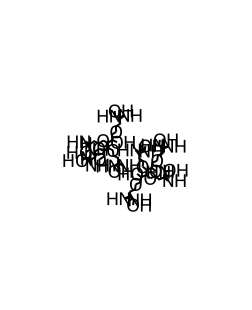 N=C(CCOCC(O)C(OCCC(=N)NO)C(OCCC(=N)NO)C(CO)OCCC(=N)NO)NO.N=C(CCOCC(O)C(OCCC(=N)NO)C(OCCC(=N)NO)C(O)COCCC(=N)NO)NO